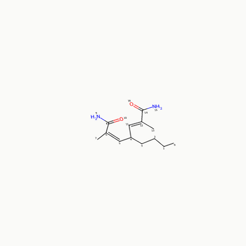 CCCCC(C=C(C)C(N)=O)C=C(C)C(N)=O